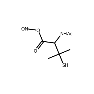 CC(=O)NC(C(=O)ON=O)C(C)(C)S